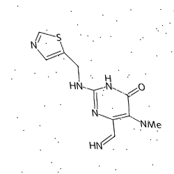 CNc1c(C=N)nc(NCc2cncs2)[nH]c1=O